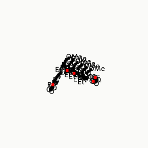 CCn1cc[n+](COCCOC)c1.CCn1cc[n+](COCCOC)c1.CCn1cc[n+](COCCOC)c1.CCn1cc[n+](COCCOC)c1.CCn1cc[n+](COCCOC)c1.CCn1cc[n+](COCCOC)c1.CCn1cc[n+](COCCOC)c1.O=C([O-])C(=O)[O-].O=C([O-])C(=O)[O-].[O-]B([O-])[O-]